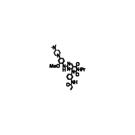 C=CC(=O)Nc1cccc(-n2c(=O)n(C(C)C)c(=O)c3cnc(Nc4ccc(N5CCC(N(C)C)CC5)cc4OC)nc32)c1